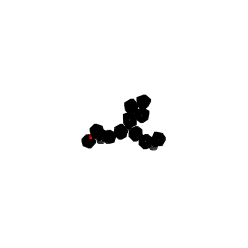 c1ccc(-c2ccccc2-c2ccccc2-c2ccc(N(c3ccc(-c4ccc5oc6ccccc6c5c4)cc3)c3ccc(-c4ccc5oc6c(-c7ccccc7)cccc6c5c4)cc3)cc2)cc1